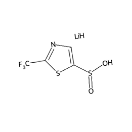 O=S(O)c1cnc(C(F)(F)F)s1.[LiH]